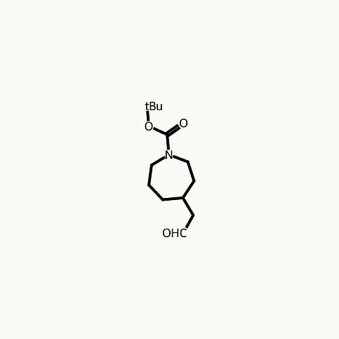 CC(C)(C)OC(=O)N1CCCC(CC=O)CC1